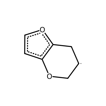 [CH]1COc2ccoc2C1